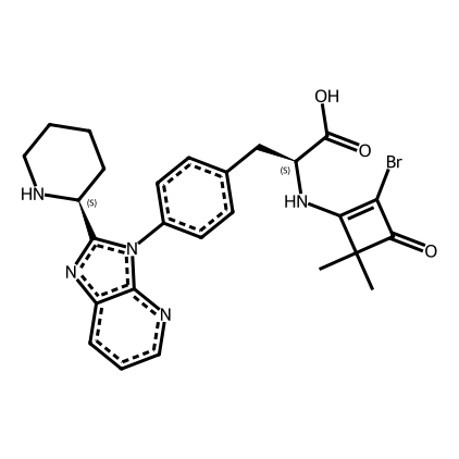 CC1(C)C(=O)C(Br)=C1N[C@@H](Cc1ccc(-n2c([C@@H]3CCCCN3)nc3cccnc32)cc1)C(=O)O